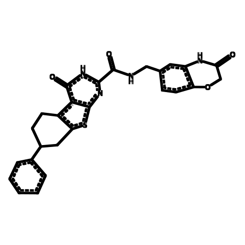 O=C1COc2ccc(CNC(=O)c3nc4sc5c(c4c(=O)[nH]3)CCC(c3ccccc3)C5)cc2N1